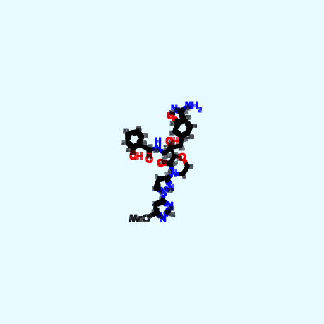 COc1cc(-n2ccc(N3CCO[C@H](C(O)(CNC(=O)c4ccccc4O)Cc4ccc5c(N)noc5c4)C3=O)n2)ncn1